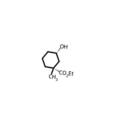 CCOC(=O)[C@]1(C)CCC[C@H](O)C1